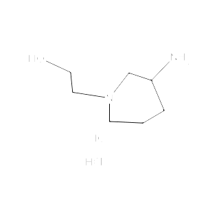 Cl.Cl.NC1CCCN(CCO)C1